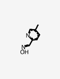 Cc1ccc(C=NO)nc1